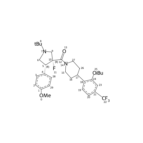 COc1ccc([C@@H]2CN(C(C)(C)C)C[C@@]2(F)C(=O)N2CCC(c3ccc(C(F)(F)F)cc3OCC(C)C)CC2)cc1